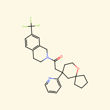 O=C(CC1(c2ccccn2)CCOC2(CCCC2)C1)N1CCc2ccc(C(F)(F)F)cc2C1